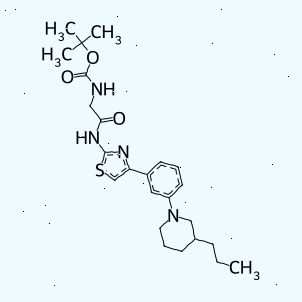 CCCC1CCCN(c2cccc(-c3csc(NC(=O)CNC(=O)OC(C)(C)C)n3)c2)C1